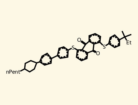 CCCCCC1CCC(c2ccc(-c3ccc(Sc4cccc5c4C(=O)c4cccc(Sc6ccc(C(C)(C)CC)cc6)c4C5=O)cc3)cc2)CC1